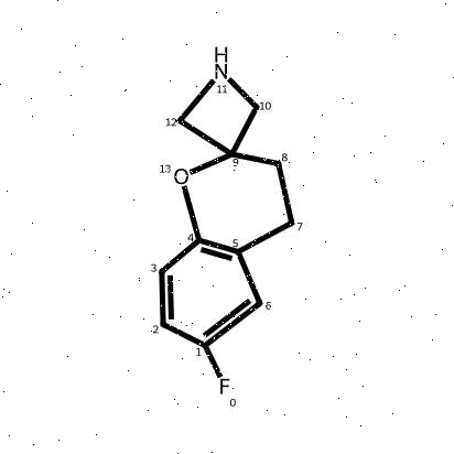 Fc1ccc2c(c1)CCC1(CNC1)O2